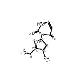 O=c1[nH]ccc(=S)n1[C@H]1CC(O)[C@@H](CO)O1